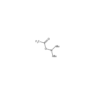 CCCCN(CCCC)OC(=O)C(F)(F)F